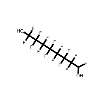 OC(F)C(F)(F)C(F)(F)C(F)(F)C(F)(F)C(F)(F)C(F)(F)C(O)(F)F